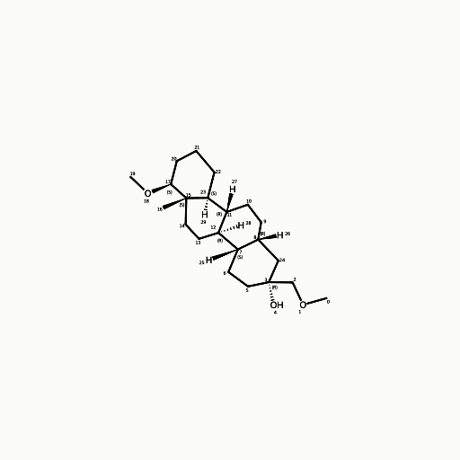 COC[C@@]1(O)CC[C@H]2[C@H](CC[C@@H]3[C@@H]2CC[C@]2(C)[C@@H](OC)CCC[C@@H]32)C1